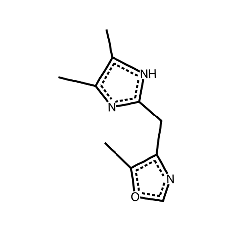 Cc1nc(Cc2ncoc2C)[nH]c1C